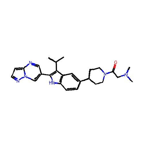 CC(C)c1c(-c2cnc3ccnn3c2)[nH]c2ccc(C3CCN(C(=O)CN(C)C)CC3)cc12